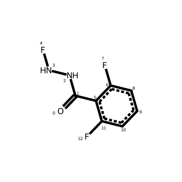 O=C(NNF)c1c(F)cccc1F